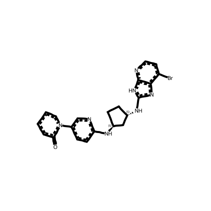 O=c1ccccn1-c1ccc(N[C@H]2CC[C@H](Nc3nc4c(Br)ccnc4[nH]3)C2)nc1